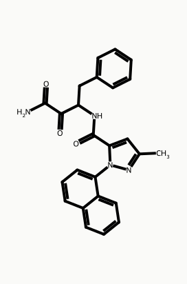 Cc1cc(C(=O)NC(Cc2ccccc2)C(=O)C(N)=O)n(-c2cccc3ccccc23)n1